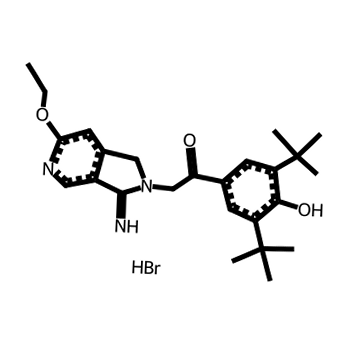 Br.CCOc1cc2c(cn1)C(=N)N(CC(=O)c1cc(C(C)(C)C)c(O)c(C(C)(C)C)c1)C2